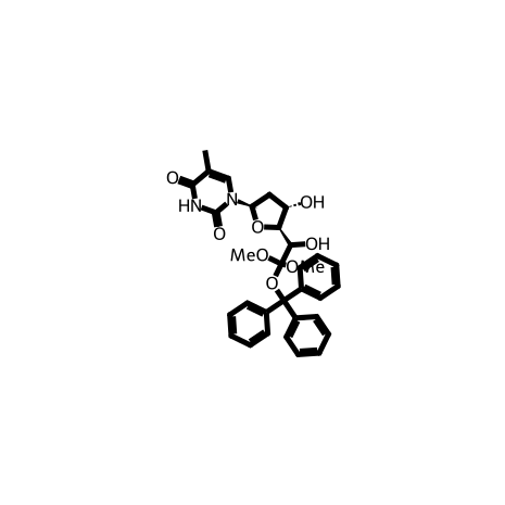 COC(OC)(OC(c1ccccc1)(c1ccccc1)c1ccccc1)C(O)[C@H]1O[C@@H](n2cc(C)c(=O)[nH]c2=O)C[C@@H]1O